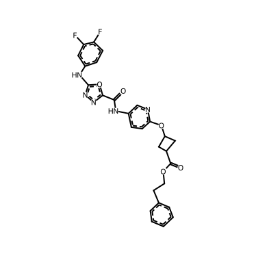 O=C(Nc1ccc(OC2CC(C(=O)OCCc3ccccc3)C2)nc1)c1nnc(Nc2ccc(F)c(F)c2)o1